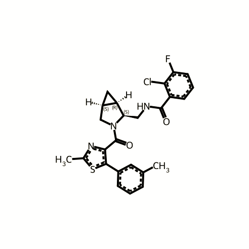 Cc1cccc(-c2sc(C)nc2C(=O)N2C[C@H]3C[C@H]3[C@H]2CNC(=O)c2cccc(F)c2Cl)c1